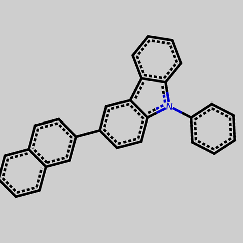 [c]1ccccc1-n1c2ccccc2c2cc(-c3ccc4ccccc4c3)ccc21